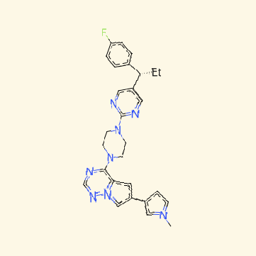 CC[C@@H](c1ccc(F)cc1)c1cnc(N2CCN(c3ncnn4cc(-c5ccn(C)c5)cc34)CC2)nc1